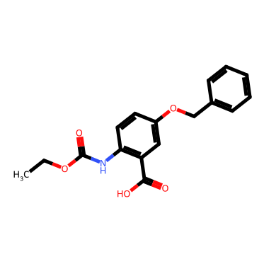 CCOC(=O)Nc1ccc(OCc2ccccc2)cc1C(=O)O